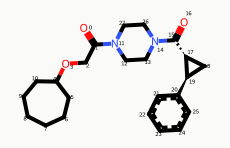 O=C(COC1CCCCCC1)N1CCN(C(=O)[C@@H]2C[C@H]2c2ccccc2)CC1